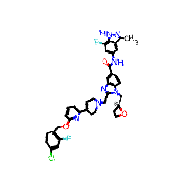 Cc1n[nH]c2c(F)cc(NC(=O)c3ccc4c(c3)nc(CN3CC=C(c5cccc(OCc6ccc(Cl)cc6F)n5)CC3)n4C[C@@H]3CCO3)cc12